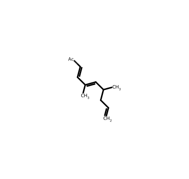 C=CCC(C)C=C(C)C=CC(C)=O